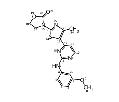 COc1cccc(Nc2nccc(-c3sc(N4CCOC4=O)nc3C)n2)c1